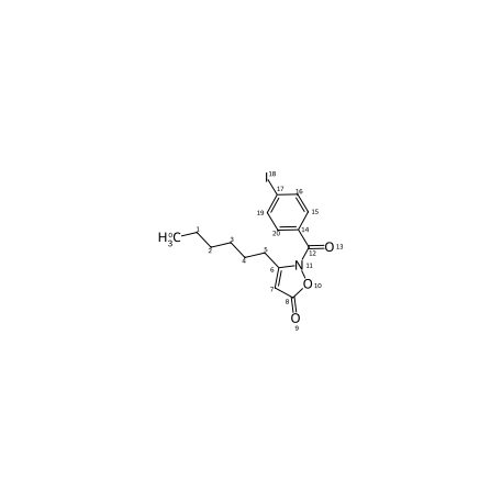 CCCCCCc1cc(=O)on1C(=O)c1ccc(I)cc1